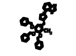 C[C@@H]1[C@@H](OCc2ccccc2)[C@H](OCc2ccccc2)[C@@H](OCc2ccccc2)CN1C[C@H]1CCN(c2cccc3ncsc23)C1